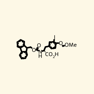 COCOc1ccc(C[C@@H](NC(=O)OCC2c3ccccc3-c3ccccc32)C(=O)O)cc1I